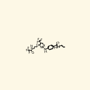 CCCNC(=O)c1ccc(Nc2ncc(C(F)(F)F)c(OCCCNC(=O)C(F)(F)F)n2)cc1